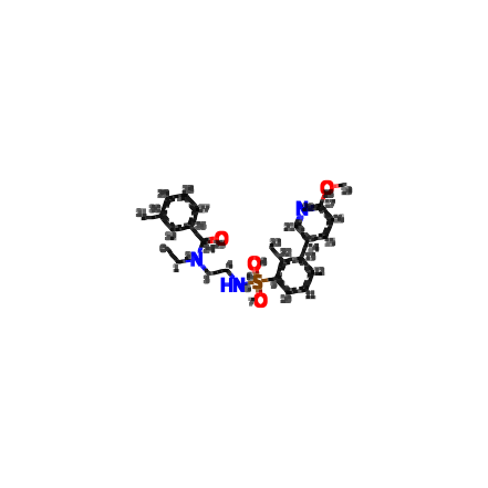 CCN(CCNS(=O)(=O)c1cccc(-c2ccc(OC)nc2)c1C)C(=O)c1cccc(C)c1